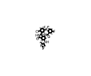 Cc1nn(C)cc1Nc1cc(NC(=O)c2cc(F)cc(C(F)(F)F)c2)c2c(c1)C(=O)NC2c1cc(F)ccc1Cl